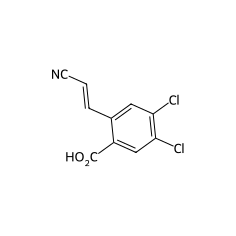 N#CC=Cc1cc(Cl)c(Cl)cc1C(=O)O